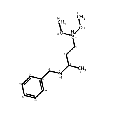 CO[SiH](CCC(C)NCc1ccccc1)OC